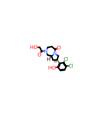 O=C(CO)N1CCC(=O)N2C[C@@H](c3c(O)ccc(Cl)c3Cl)C[C@H]2C1